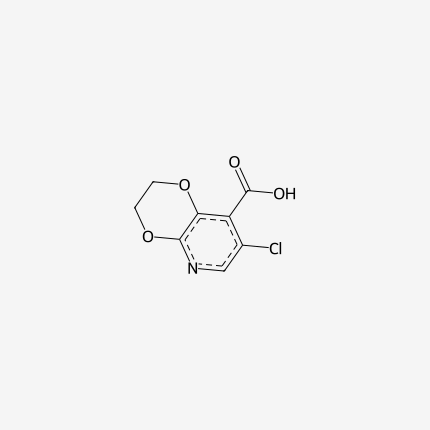 O=C(O)c1c(Cl)cnc2c1OCCO2